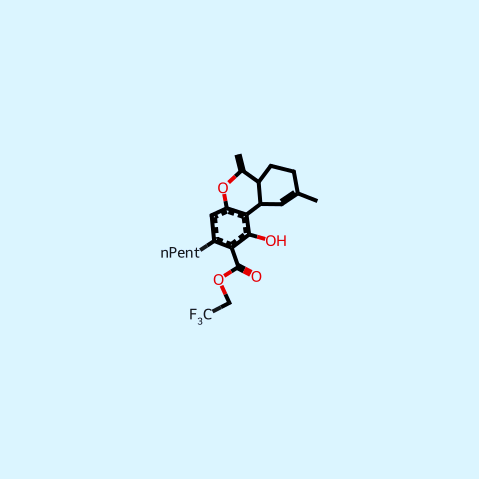 C=C1Oc2cc(CCCCC)c(C(=O)OCC(F)(F)F)c(O)c2C2C=C(C)CCC12